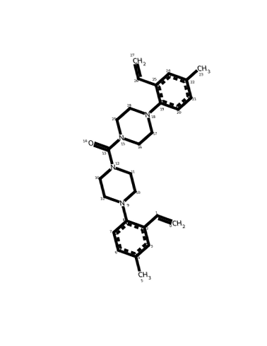 C=Cc1cc(C)ccc1N1CCN(C(=O)N2CCN(c3ccc(C)cc3C=C)CC2)CC1